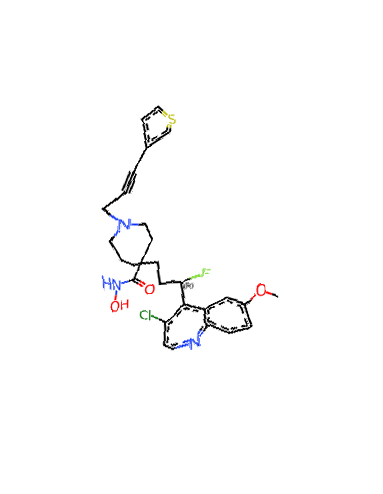 COc1ccc2ncc(Cl)c([C@H](F)CCC3(C(=O)NO)CCN(CC#Cc4ccsc4)CC3)c2c1